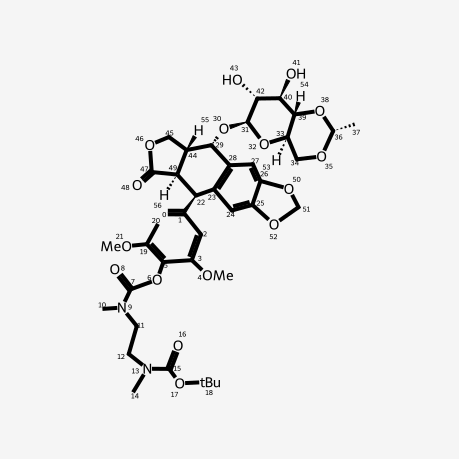 C=C(/C=C(OC)\C(OC(=O)N(C)CCN(C)C(=O)OC(C)(C)C)=C(/C)OC)[C@@H]1c2cc3c(cc2[C@@H](O[C@@H]2O[C@@H]4CO[C@@H](C)O[C@H]4[C@H](O)[C@H]2O)[C@H]2COC(=O)[C@@H]21)OCO3